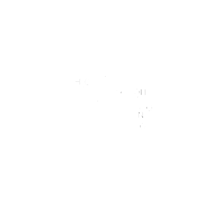 Cc1ccc(C(O)C[N+](=O)[O-])cc1